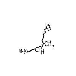 CCCOCCOCPC(C)CCCCCC(=O)C(C)C